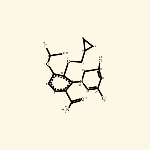 NC(=O)c1ccc(OC(F)F)c(OCC2CC2)c1N1C=C(Cl)C=C(Cl)C1